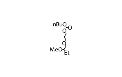 CCCCOC(=O)OCCCOCC(CC)OC